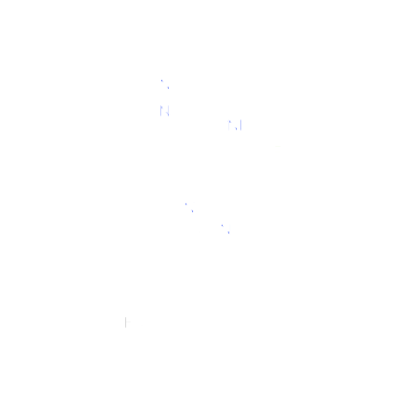 Fc1cc2nc(-c3ccc(C(F)(F)F)cc3)[nH]c2cc1Nc1ccnnc1